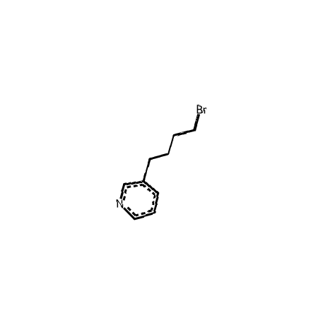 BrCCCCc1cccnc1